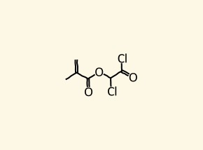 C=C(C)C(=O)OC(Cl)C(=O)Cl